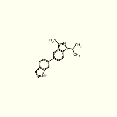 CC(C)n1nc(N)c2cc(-c3ccc4cn[nH]c4c3)ccc21